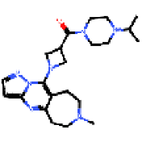 CC(C)N1CCN(C(=O)C2CN(c3c4c(nc5ccnn35)CCN(C)CC4)C2)CC1